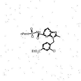 CCCCCS(=O)(=O)NC(=O)c1ccc2nc(C)n(Cc3ccc(C(=O)OCC)cc3Cl)c2n1